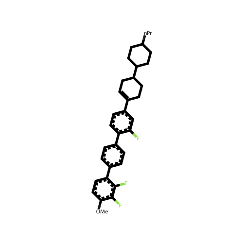 CCCC1CCC(C2CC=C(c3ccc(-c4ccc(-c5ccc(OC)c(F)c5F)cc4)c(F)c3)CC2)CC1